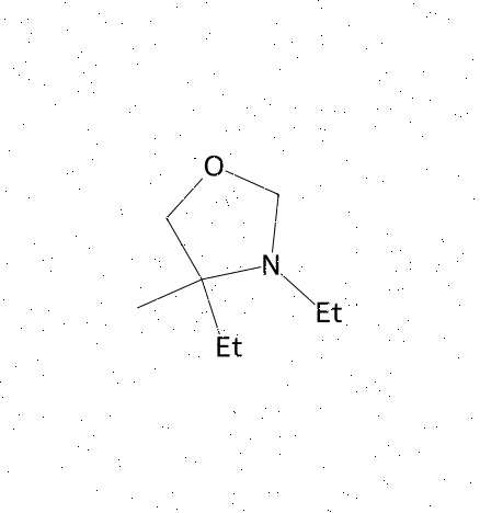 CCN1COCC1(C)CC